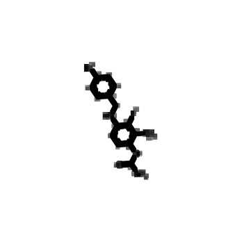 NC(=O)Oc1ccc(NCc2ccc(Br)cc2)c(F)c1N